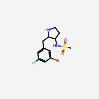 CS(=O)(=O)NC1CCNC1Cc1cc(F)cc(Br)c1